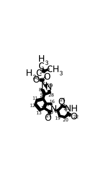 CC(C)(C)OC(=O)n1cc(-c2cccc3c2CN(C2CCC(=O)NC2=O)C3=O)cn1